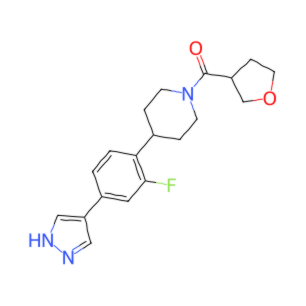 O=C(C1CCOC1)N1CCC(c2ccc(-c3cn[nH]c3)cc2F)CC1